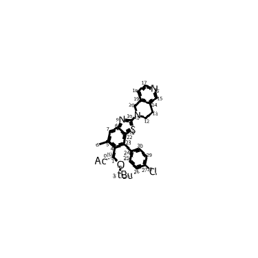 CC(=O)[C@@H](OC(C)(C)C)c1c(C)cc2nc(N3CCc4cnccc4C3)sc2c1-c1ccc(Cl)cc1